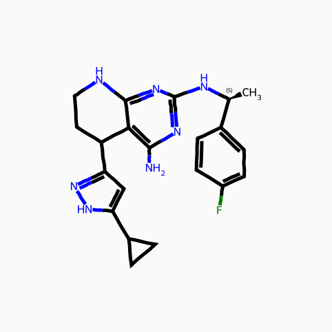 C[C@H](Nc1nc(N)c2c(n1)NCCC2c1cc(C2CC2)[nH]n1)c1ccc(F)cc1